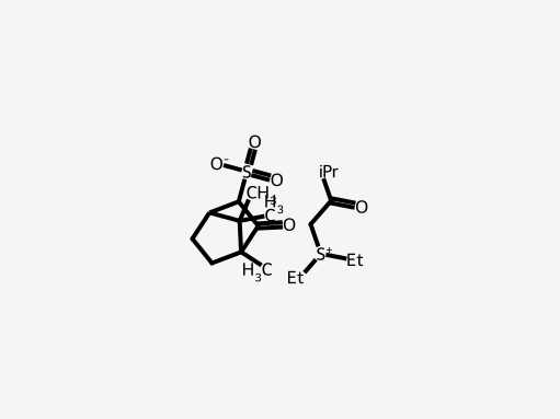 CC12CCC(C(S(=O)(=O)[O-])C1=O)C2(C)C.CC[S+](CC)CC(=O)C(C)C